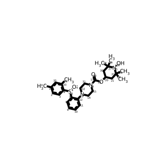 Cc1ccc([S+]([O-])c2ccccc2N2CCN(C(=O)OC3CC(C)(C)N(O)C(C)(C)C3)CC2)c(C)c1